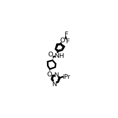 CC(C)c1cncc(O[C@H]2CC[C@@H](C(=O)Nc3ccc(OC(F)F)cc3)CC2)n1